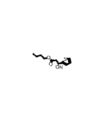 CCCCOC(=O)C[C@@H](O)c1cccs1